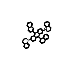 c1ccc2c(c1)CCCN2c1ccc2c(-c3cccc4ccccc34)c3cc(N4CCCc5ccccc54)ccc3c(-c3ccc4ccccc4c3)c2c1